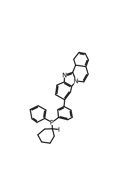 IC1(P(c2ccccc2)c2cccc(-c3ccc4nc5n(c4c3)C=CC3=CC=CCC35)c2)CCCCC1